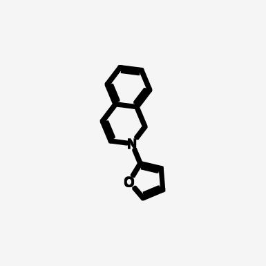 C1=CN(c2ccco2)Cc2ccccc21